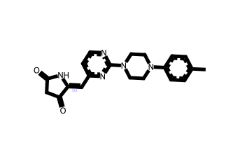 Cc1ccc(N2CCN(c3nccc(/C=C4\NC(=O)CC4=O)n3)CC2)cc1